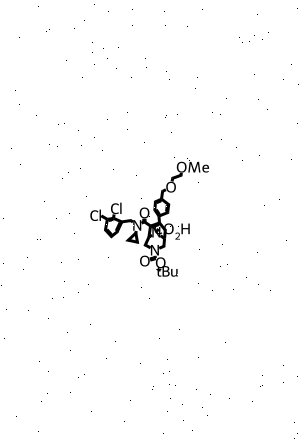 COCCOCc1ccc(C2=C(C(=O)N(Cc3cccc(Cl)c3Cl)C3CC3)C3CN(C(=O)OC(C)(C)C)CC(C2)N3C(=O)O)cc1